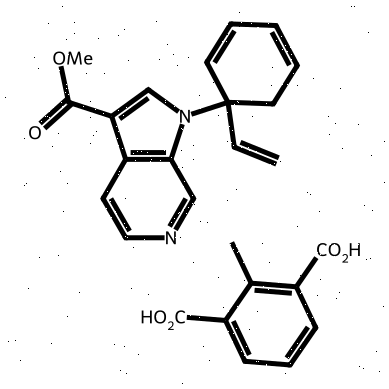 C=CC1(n2cc(C(=O)OC)c3ccncc32)C=CC=CC1.Cc1c(C(=O)O)cccc1C(=O)O